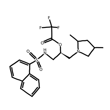 CC1CC(C)N(C[C@@H](CNS(=O)(=O)c2cccc3ccccc23)OC(=O)C(F)(F)F)C1